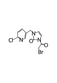 O=C(CBr)n1ccn(Cc2ccc(Cl)nc2)c1=O